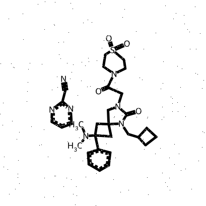 CN(C)C1(c2ccccc2)CC2(CN(CC(=O)N3CCS(=O)(=O)CC3)C(=O)N2CC2CCC2)C1.N#Cc1ncccn1